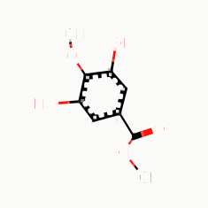 COC(=O)c1cc(O)c(OC)c(O)c1